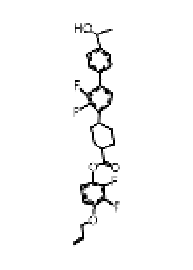 C=CCOc1ccc(OC(=O)C2CCC(c3ccc(-c4ccc(C(C)O)cc4)c(F)c3F)CC2)c(F)c1F